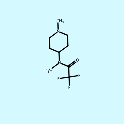 CN1CCC(N(C)C(=O)C(F)(F)F)CC1